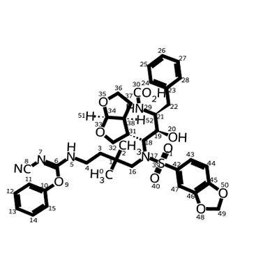 CC(C)(CCNC(=NC#N)Oc1ccccc1)CN(C([C@H](O)[C@H](Cc1ccccc1)NC(=O)O)[C@@H]1CO[C@H]2OCC[C@H]21)S(=O)(=O)c1ccc2c(c1)OCO2